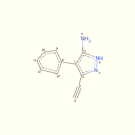 C#Cc1n[nH]c(N)c1-c1ccccc1